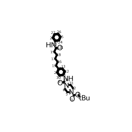 CC(C)(C)OC(=O)N1CCN(C(=O)Nc2ccc(CCCCCC(=O)Nc3ccccc3)cc2)CC1